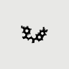 C=C(CCC(=C)c1ccc2c(c1)CC(F)(F)C2)c1cccc(F)c1